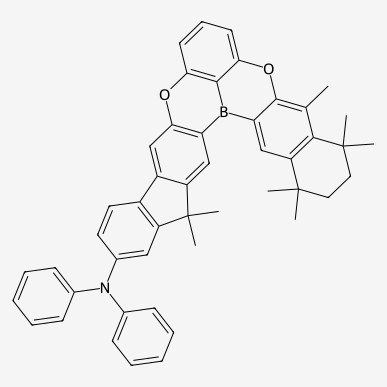 Cc1c2c(cc3c1C(C)(C)CCC3(C)C)B1c3cc4c(cc3Oc3cccc(c31)O2)-c1ccc(N(c2ccccc2)c2ccccc2)cc1C4(C)C